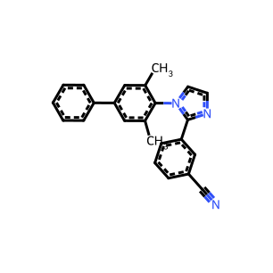 Cc1cc(-c2ccccc2)cc(C)c1-n1ccnc1-c1cccc(C#N)c1